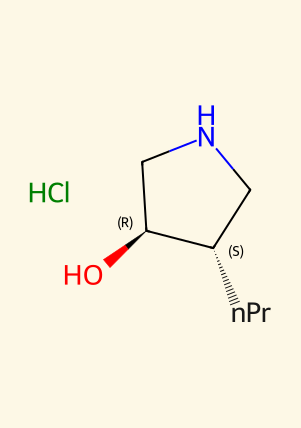 CCC[C@H]1CNC[C@@H]1O.Cl